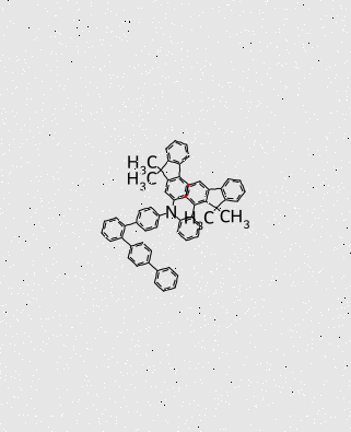 CC1(C)c2ccccc2-c2ccc(N(c3ccc(-c4ccccc4-c4ccc(-c5ccccc5)cc4)cc3)c3ccccc3-c3cccc4c3C(C)(C)c3ccccc3-4)cc21